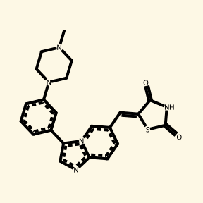 CN1CCN(c2cccc(-c3cnc4ccc(/C=C5\SC(=O)NC5=O)cn34)c2)CC1